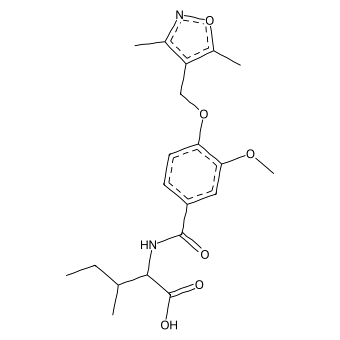 CCC(C)C(NC(=O)c1ccc(OCc2c(C)noc2C)c(OC)c1)C(=O)O